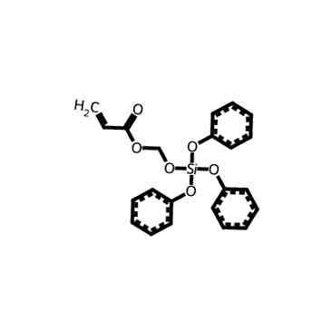 C=CC(=O)OCO[Si](Oc1ccccc1)(Oc1ccccc1)Oc1ccccc1